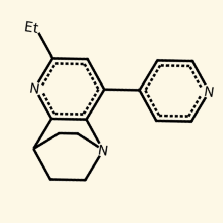 CCc1cc(-c2ccncc2)c2c(n1)C1CCN2CC1